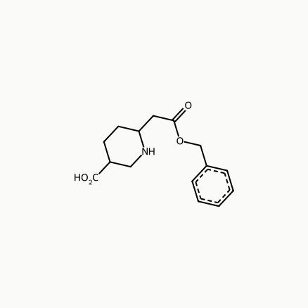 O=C(CC1CCC(C(=O)O)CN1)OCc1ccccc1